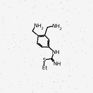 CCSC(=N)Nc1ccc(CN)c(CN)c1